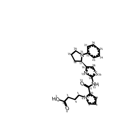 O=C(O)CCCn1cccc1C(=O)Nc1nc([C@H]2CCCN2c2ccccc2)cs1